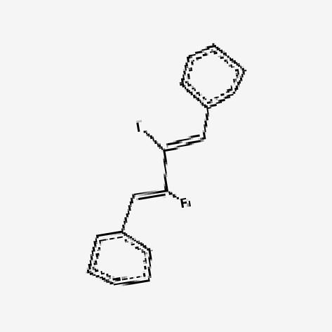 FC(=Cc1ccccc1)C(Br)=Cc1ccccc1